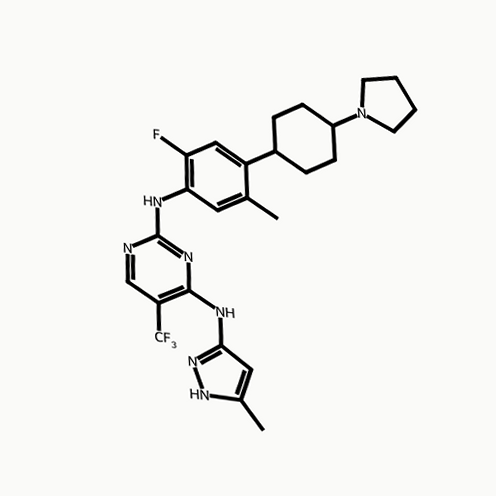 Cc1cc(Nc2nc(Nc3cc(C)c(C4CCC(N5CCCC5)CC4)cc3F)ncc2C(F)(F)F)n[nH]1